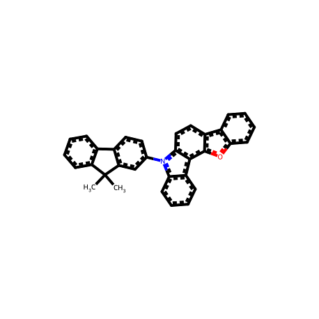 CC1(C)c2ccccc2-c2ccc(-n3c4ccccc4c4c5oc6ccccc6c5ccc43)cc21